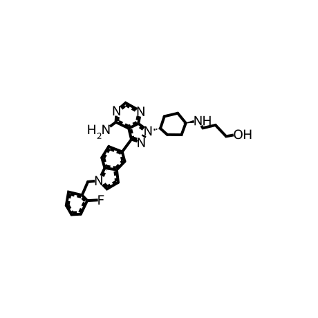 Nc1ncnc2c1c(-c1ccc3c(ccn3Cc3ccccc3F)c1)nn2[C@H]1CC[C@H](NCCCO)CC1